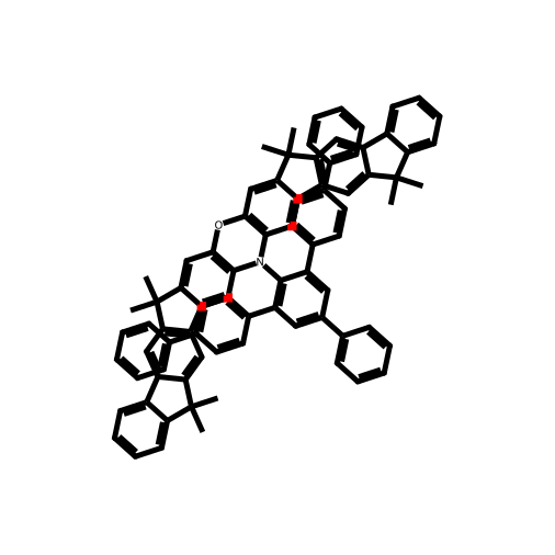 CC1(C)c2ccccc2-c2cc3c(cc21)-c1cc2c(cc1C3(C)C)Oc1cc3c(cc1N2c1c(-c2ccc(-c4ccccc4)cc2)cc(-c2ccccc2)cc1-c1ccc(-c2ccccc2)cc1)-c1cc2c(cc1C3(C)C)-c1ccccc1C2(C)C